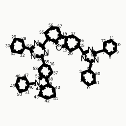 c1ccc(-c2nc(-c3ccccc3)nc(-c3ccc4c(c3)oc3c(-c5nc(-c6ccccc6)nc(-c6ccc7c8ccccc8n(-c8ccccc8)c7c6)n5)cccc34)n2)cc1